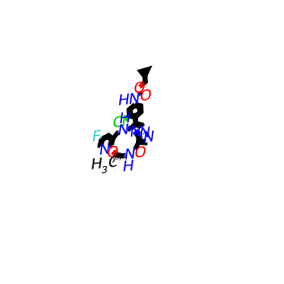 C[C@H]1CNC(=O)c2cnn3cc(-c4ccc(NC(=O)OCC5CC5)cc4Cl)c(nc23)NCc2cc(F)cnc2O1